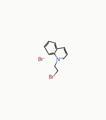 BrCC[n+]1cccc2ccccc21.[Br-]